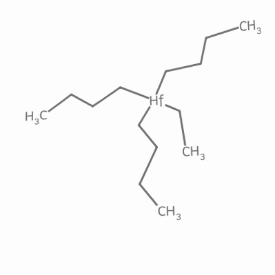 CCC[CH2][Hf]([CH2]C)([CH2]CCC)[CH2]CCC